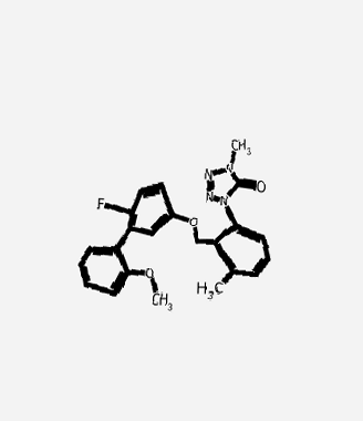 COc1ccccc1-c1cc(OCc2c(C)cccc2-n2nnn(C)c2=O)ccc1F